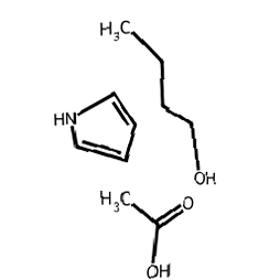 CC(=O)O.CCCCO.c1cc[nH]c1